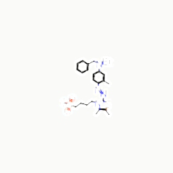 CCN(Cc1ccccc1)c1ccc(/N=N/c2sc(C)c(C)[n+]2CCCCS(=O)(=O)[O-])c(C)c1